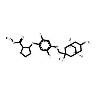 COC(=O)C1CCCC1Sc1cc(Cl)c(OCC2(C)C[C@@H]3CC(C)C[C@@H](C3)C2)cc1F